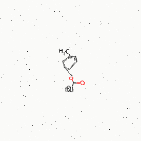 Cc1ccc(COC(=O)C(C)(C)C)cc1